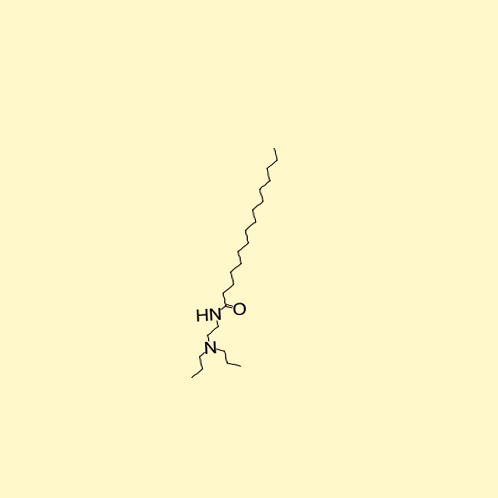 CCCCCCCCCCCCCCCC(=O)NCCN(CCC)CCC